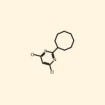 Clc1cc(Cl)nc(C2CCCCCCC2)n1